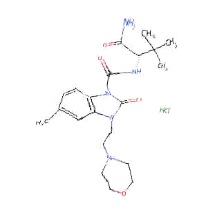 Cc1ccc2c(c1)n(CCN1CCOCC1)c(=O)n2C(=O)N[C@H](C(N)=O)C(C)(C)C.Cl